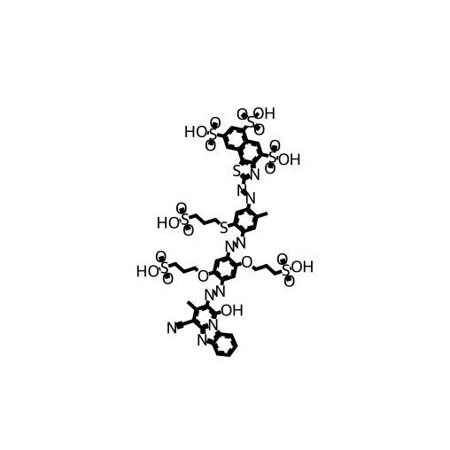 Cc1cc(N=Nc2cc(OCCCS(=O)(=O)O)c(N=Nc3c(C)c(C#N)c4nc5ccccc5n4c3O)cc2OCCCS(=O)(=O)O)c(SCCCS(=O)(=O)O)cc1N=Nc1nc2c(S(=O)(=O)O)cc3c(S(=O)(=O)O)cc(S(=O)(=O)O)cc3c2s1